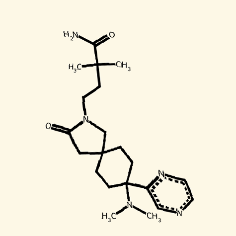 CN(C)C1(c2cnccn2)CCC2(CC1)CC(=O)N(CCC(C)(C)C(N)=O)C2